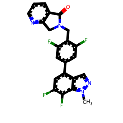 Cn1ncc2c(-c3cc(F)c(CN4Cc5ncccc5C4=O)c(F)c3)cc(F)c(F)c21